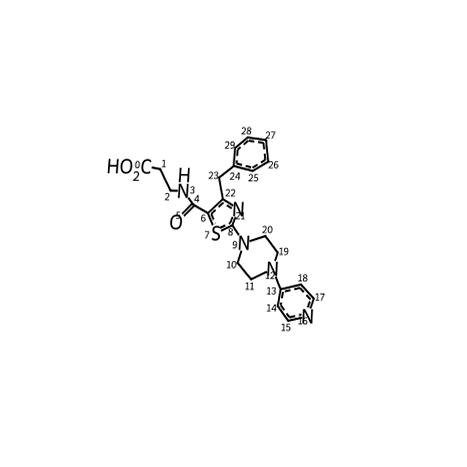 O=C(O)CCNC(=O)c1sc(N2CCN(c3ccncc3)CC2)nc1Cc1ccccc1